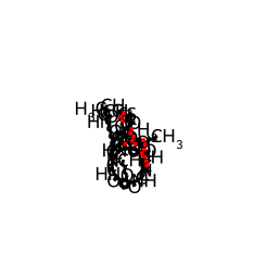 CCCCOc1c2cccc1C(=O)NCCN1CCNC(=O)c3cccc(c3OCCCC)C(=O)NCCN(CCNC2=O)CCNC(=O)c2cccc(c2OCCCC)C(=O)NCCN(CC(CCCCNC(=O)OC(C)(C)C)NC(=O)c2cccc(C(=O)N3CCSC3=S)c2OCCCC)CC1